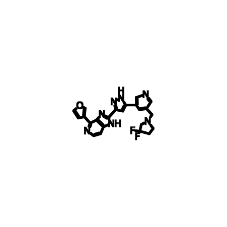 FC1(F)CCN(Cc2cncc(-c3cc(-c4nc5c(-c6ccoc6)nccc5[nH]4)n[nH]3)c2)C1